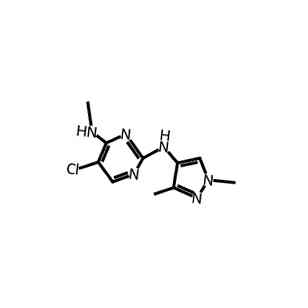 CNc1nc(Nc2cn(C)nc2C)ncc1Cl